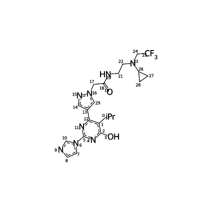 CC(C)c1c(O)nc(-n2ccnc2)nc1-c1cnn(CC(=O)NCCN(CC(F)(F)F)C2CC2)c1